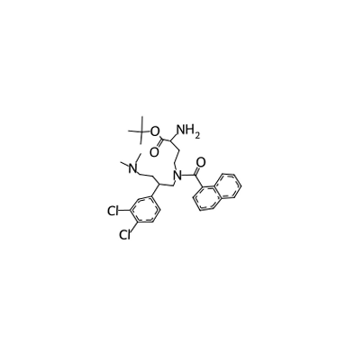 CN(C)CCC(CN(CCC(N)C(=O)OC(C)(C)C)C(=O)c1cccc2ccccc12)c1ccc(Cl)c(Cl)c1